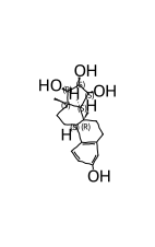 C[C@]12CC[C@@H]3c4ccc(O)cc4CC[C@H]3[C@@H]1[C@H](O)[C@H](O)[C@@H]2O